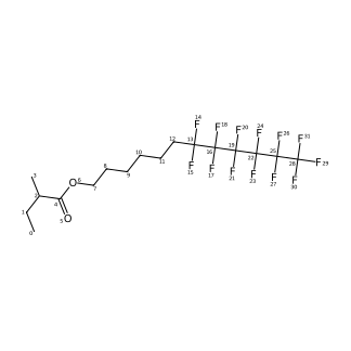 CCC(C)C(=O)OCCCCCCC(F)(F)C(F)(F)C(F)(F)C(F)(F)C(F)(F)C(F)(F)F